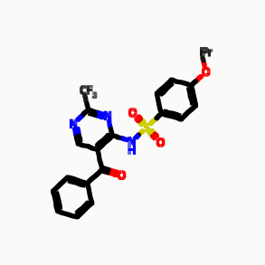 CC(C)Oc1ccc(S(=O)(=O)Nc2nc(C(F)(F)F)ncc2C(=O)c2ccccc2)cc1